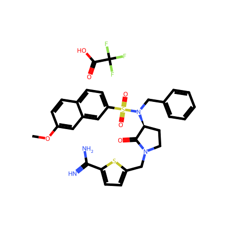 COc1ccc2ccc(S(=O)(=O)N(Cc3ccccc3)[C@H]3CCN(Cc4ccc(C(=N)N)s4)C3=O)cc2c1.O=C(O)C(F)(F)F